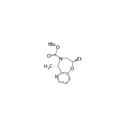 CC[C@@H]1CN(C(=O)OC(C)(C)C)[C@@H](C)c2ncccc2O1